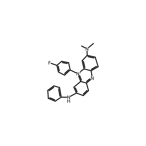 CN(C)c1ccc2nc3ccc(Nc4ccccc4)cc3[n+](-c3ccc(F)cc3)c2c1